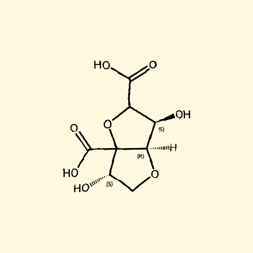 O=C(O)C1OC2(C(=O)O)[C@H](OC[C@@H]2O)[C@@H]1O